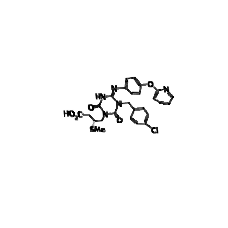 CS[C@H](CC(=O)O)Cn1c(=O)[nH]c(=Nc2ccc(Oc3ccccn3)cc2)n(Cc2ccc(Cl)cc2)c1=O